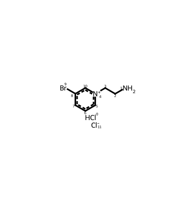 Cl.NCC[n+]1cccc(Br)c1.[Cl-]